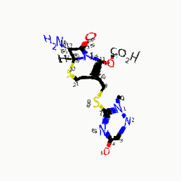 Cn1ncc(=O)nc1SCC1=C(OC(=O)O)N2C(=O)[C@@H](N)[C@H]2SC1